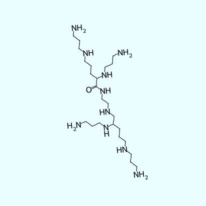 NCCCNCCCC(CNCCNC(=O)C(CCCNCCCN)NCCCN)NCCCN